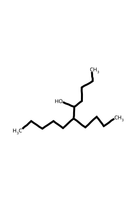 CCCCCC(CCCC)C(O)CCCC